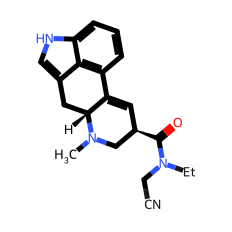 CCN(CC#N)C(=O)[C@@H]1C=C2c3cccc4[nH]cc(c34)C[C@H]2N(C)C1